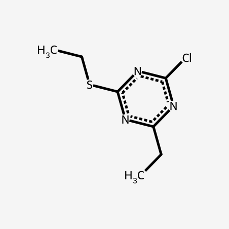 CCSc1nc(Cl)nc(CC)n1